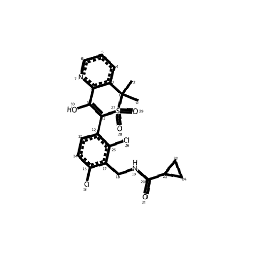 CC1(C)c2cccnc2C(O)=C(c2ccc(Cl)c(CNC(=O)C3CC3)c2Cl)S1(=O)=O